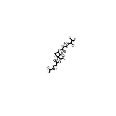 CC(=O)NCCC(=O)O[C@@H]1CO[C@H]2[C@@H]1OC[C@H]2OC(=O)CCNC(=O)C(C)C